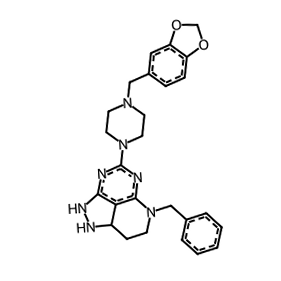 c1ccc(CN2CCC3NNc4nc(N5CCN(Cc6ccc7c(c6)OCO7)CC5)nc2c43)cc1